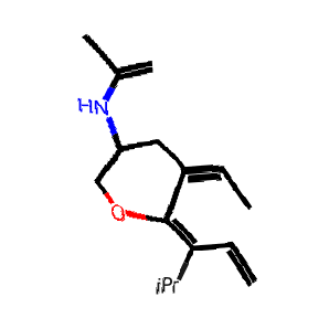 C=C/C(=C1/OCC(NC(=C)C)C/C1=C/C)C(C)C